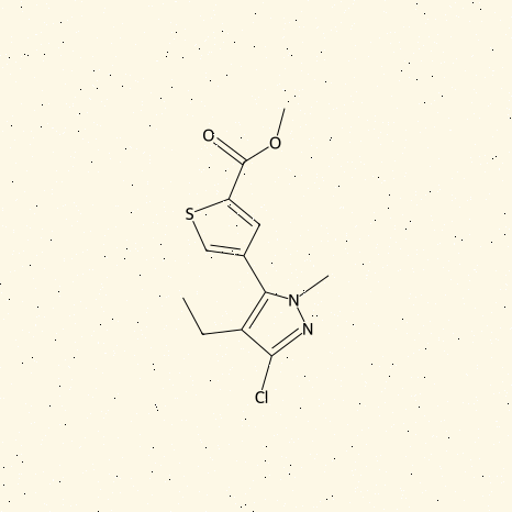 CCc1c(Cl)nn(C)c1-c1csc(C(=O)OC)c1